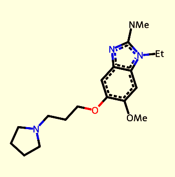 CCn1c(NC)nc2cc(OCCCN3CCCC3)c(OC)cc21